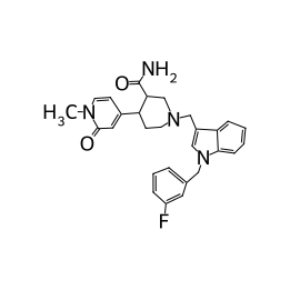 Cn1ccc(C2CCN(Cc3cn(Cc4cccc(F)c4)c4ccccc34)CC2C(N)=O)cc1=O